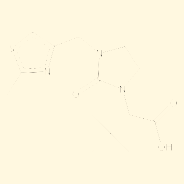 Cc1nc(CN2CCN([C@H](C(=O)O)C(C)(C)C)C2=O)cs1